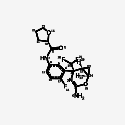 NC1=N[C@@](c2cc(NC(=O)[C@H]3CCCO3)ccc2F)(C(F)F)[C@H]2C[C@H]2O1